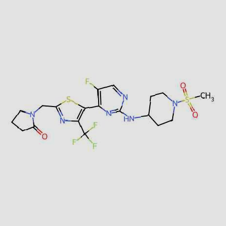 CS(=O)(=O)N1CCC(Nc2ncc(F)c(-c3sc(CN4CCCC4=O)nc3C(F)(F)F)n2)CC1